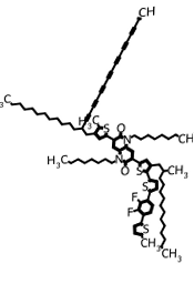 C#CC#CC#CC#CC#CC#CC#CC#CC(CCCCCCCCCCCC)Cc1cc(-c2cc3c(cc(-c4cc(CC(C)CCCCCCCCCCCC)c(-c5ccc(-c6ccc(-c7ccc(C)s7)c(F)c6F)s5)s4)c(=O)n3CCCCCCCC)n(CCCCCCCC)c2=O)sc1C